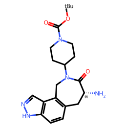 CC(C)(C)OC(=O)N1CCC(N2Cc3c(ccc4[nH]ncc34)C[C@@H](N)C2=O)CC1